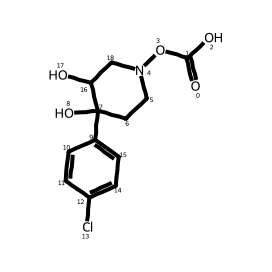 O=C(O)ON1CCC(O)(c2ccc(Cl)cc2)C(O)C1